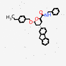 CCc1ccc(CO[C@H]2C[C@@H](c3ccc4c(c3)Cc3ccccc3-4)C=C(C(=O)NCc3ccccc3)O2)cc1